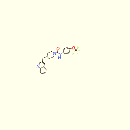 O=C(Nc1ccc(OC(F)(F)F)cc1)N1CCC(Cc2cnc3ccccc3c2)CC1